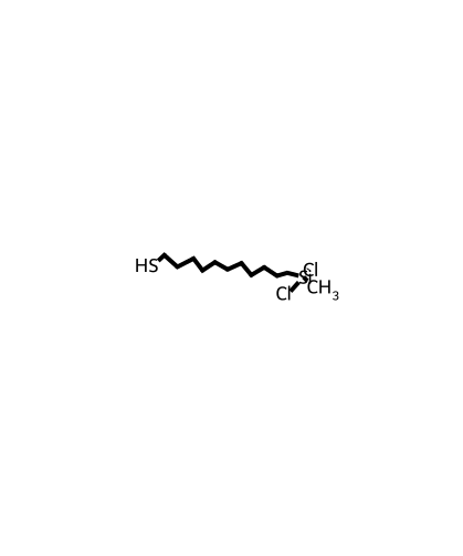 C[Si](Cl)(Cl)CCCCCCCCCCCS